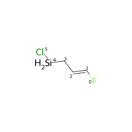 FC=CC[SiH2]Cl